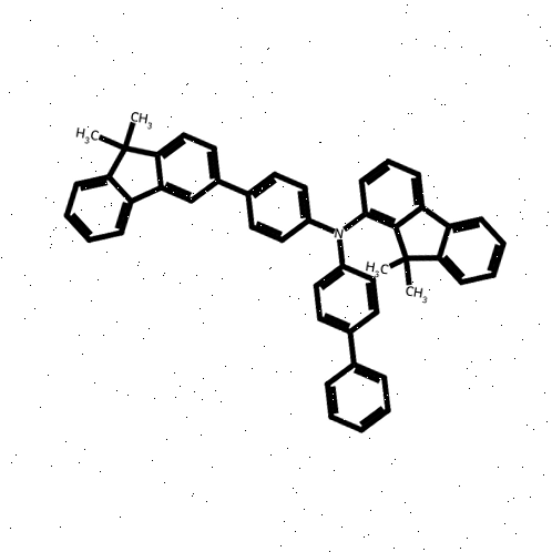 CC1(C)c2ccccc2-c2cc(-c3ccc(N(c4ccc(-c5ccccc5)cc4)c4cccc5c4C(C)(C)c4ccccc4-5)cc3)ccc21